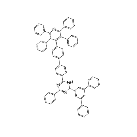 c1ccc(C2=NC(c3cc(-c4ccccc4)cc(-c4ccccc4)c3)NC(c3ccc(-c4ccc(-c5c(-c6ccccc6)c(-c6ccccc6)nc(-c6ccccc6)c5-c5ccccc5)cc4)cc3)=N2)cc1